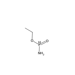 CCO[PH](N)=O